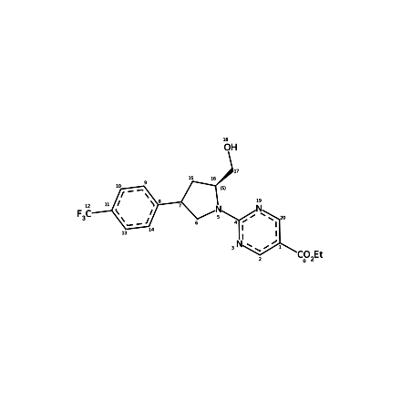 CCOC(=O)c1cnc(N2CC(c3ccc(C(F)(F)F)cc3)C[C@H]2CO)nc1